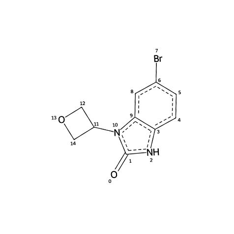 O=c1[nH]c2ccc(Br)cc2n1C1COC1